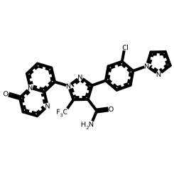 NC(=O)c1c(-c2ccc(-n3cccn3)c(Cl)c2)nn(-c2cccn3c(=O)ccnc23)c1C(F)(F)F